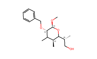 CO[C@H]1OC([C@H](C)CO)[C@@H](C)C(C)[C@@H]1OCc1ccccc1